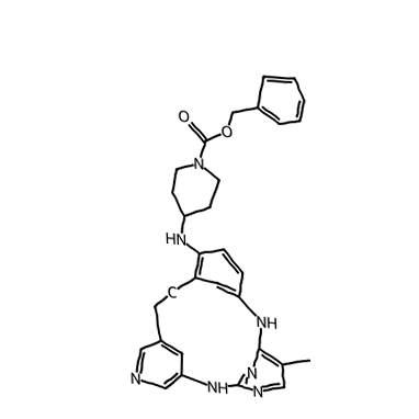 Cc1cnc2nc1Nc1ccc(NC3CCN(C(=O)OCc4ccccc4)CC3)c(c1)CCc1cncc(c1)N2